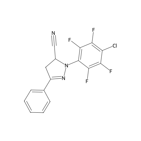 N#CC1CC(c2ccccc2)=NN1c1c(F)c(F)c(Cl)c(F)c1F